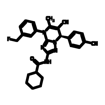 CC1=C(C#N)[C@@H](c2ccc(C#N)cc2)n2nc(NC(=O)C3CCCCC3)nc2N1c1cccc(CF)c1